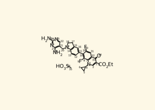 CCOC(=O)c1cn(C2CC2)c2c(F)c(-c3ccc4c(c3)CCN4Cc3cnc(N)nc3N)c(F)cc2c1=O.CS(=O)(=O)O